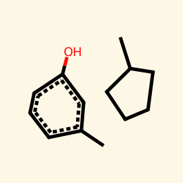 CC1CCCC1.Cc1cccc(O)c1